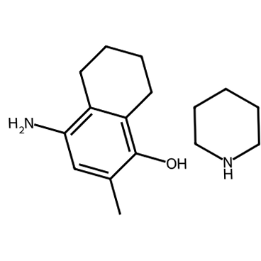 C1CCNCC1.Cc1cc(N)c2c(c1O)CCCC2